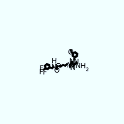 COc1cccc(-c2nc(N)c3ncn(CCCCOC(=O)NCc4cccc(C(F)(F)F)c4)c3n2)c1